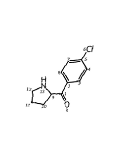 O=C(c1ccc(Cl)cc1)C1CCCN1